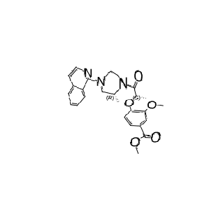 COC(=O)c1ccc(O[C@@H](C)C(=O)N2CCN(c3nccc4ccccc34)C[C@H]2C)c(OC)c1